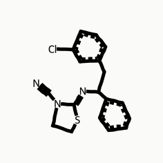 N#CN1CCSC1=NC(Cc1cccc(Cl)c1)c1ccccc1